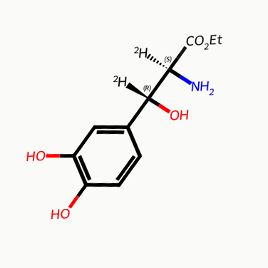 [2H][C@@](N)(C(=O)OCC)[C@]([2H])(O)c1ccc(O)c(O)c1